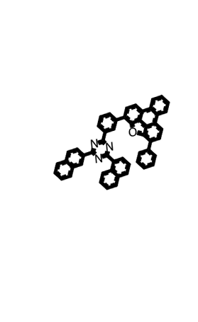 c1ccc(-c2ccc3c4ccccc4c4ccc(-c5cccc(-c6nc(-c7ccc8ccccc8c7)nc(-c7cccc8ccccc78)n6)c5)c5oc2c3c54)cc1